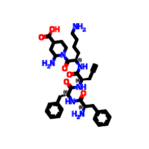 C#CC[C@@H](NC(=O)[C@@H](Cc1ccccc1)NC(=O)[C@H](N)Cc1ccccc1)C(=O)N[C@H](CCCCN)C(=O)N1CCC(C(=O)O)CC1N